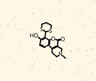 CN1CCc2c(c(=O)oc3c(C4SCCCS4)c(O)ccc23)C1